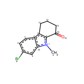 Cn1c2c(c3ccc(Br)cc31)CCCC2=O